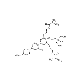 C=C(C)C(=O)OCCCc1cc(-c2ccc(C3CCC(CCCCC)CC3)cc2CC)cc(CCCOC(=O)C(=C)C)c1OCCC(C)(CO)CO